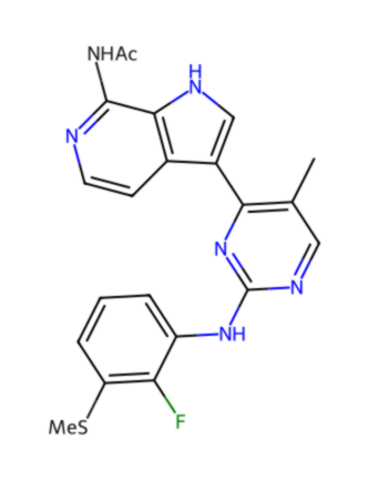 CSc1cccc(Nc2ncc(C)c(-c3c[nH]c4c(NC(C)=O)nccc34)n2)c1F